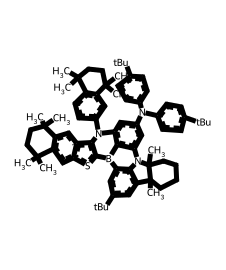 CC(C)(C)c1ccc(N(c2ccc(C(C)(C)C)cc2)c2cc3c4c(c2)N2c5c(cc(C(C)(C)C)cc5C5(C)CCCCC25C)B4c2sc4cc5c(cc4c2N3c2ccc3c(c2)C(C)(C)CCC3(C)C)C(C)(C)CCC5(C)C)cc1